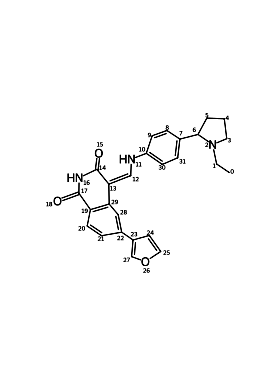 CCN1CCCC1c1ccc(NC=C2C(=O)NC(=O)c3ccc(-c4ccoc4)cc32)cc1